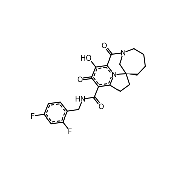 O=C(NCc1ccc(F)cc1F)c1c2n3c(c(O)c1=O)C(=O)N1CCCC[C@]3(CC2)C1